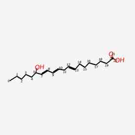 CCCCCC(O)C=CC=CCC=CCCCCCCC(=O)O